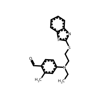 CCN(CCSc1nc2ccccc2s1)c1ccc(C=O)c(C)c1